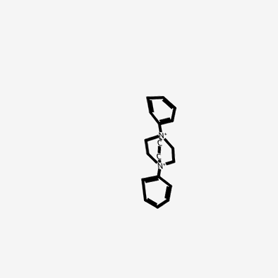 c1ccc([N+]23CC[N+](c4ccccc4)(CC2)CC3)cc1